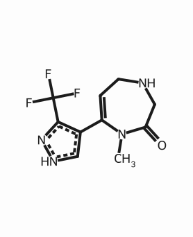 CN1C(=O)CNCC=C1c1c[nH]nc1C(F)(F)F